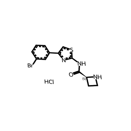 Cl.O=C(Nc1nc(-c2cccc(Br)c2)cs1)[C@@H]1CCN1